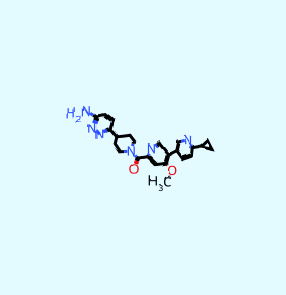 COc1cc(C(=O)N2CCC(c3ccc(N)nn3)CC2)ncc1-c1ccc(C2CC2)nc1